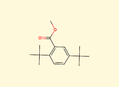 COC(=O)c1cc(C(C)(C)C)ccc1C(C)(C)C